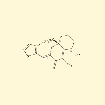 CC1=C2[C@@H](O)CCC[C@@]2(C)C/C(=C\c2sccc2C)C1=O